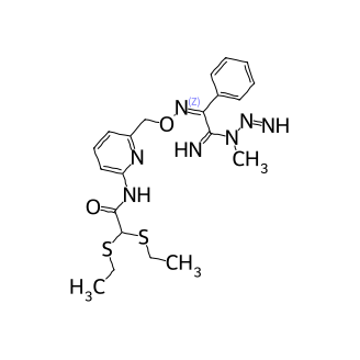 CCSC(SCC)C(=O)Nc1cccc(CO/N=C(\C(=N)N(C)N=N)c2ccccc2)n1